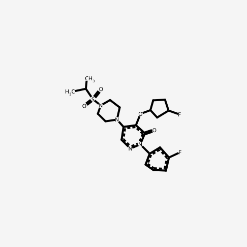 CC(C)S(=O)(=O)N1CCN(c2cnn(-c3cccc(F)c3)c(=O)c2OC2CCC(F)C2)CC1